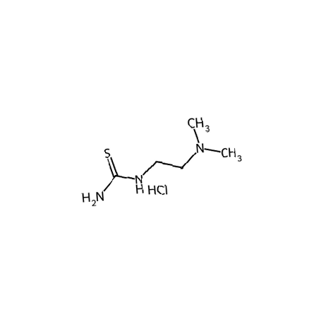 CN(C)CCNC(N)=S.Cl